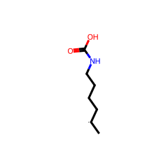 C[CH]CCCCNC(=O)O